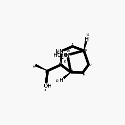 C[C@H](O)[C@H]1NC[C@@H]2CC[C@H]1N2C(=O)O